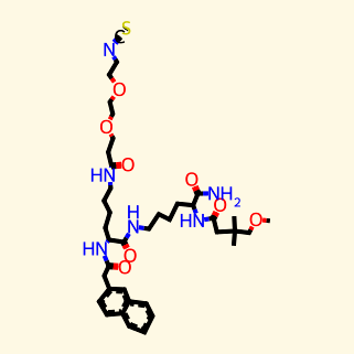 COCC(C)(C)CC(=O)NC(CCCCNC(=O)C(CCCCNC(=O)CCOCCOCCN=C=S)NC(=O)Cc1ccc2ccccc2c1)C(N)=O